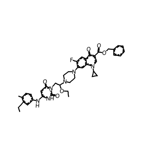 CCOC(Cn1c(=O)cc(Nc2ccc(C)c(CC)c2)[nH]c1=O)N1CCN(c2cc3c(cc2F)c(=O)c(C(=O)OCc2ccccc2)cn3C2CC2)CC1